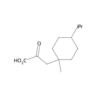 CC(C)C1CCC(C)(CC(=O)C(=O)O)CC1